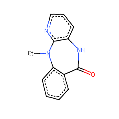 CCN1c2ccccc2C(=O)Nc2cccnc21